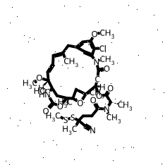 COc1cc2cc(c1Cl)N(C)C(=O)C[C@H](OC(=O)[C@H](C)N(C)C(=O)CCC(C)(C#N)SSC)[C@@]1(C)C[C@](C)(O1)[C@@H]1C[C@@](O)(NC(=O)O1)[C@H](OC)/C=C/C=C(\C)C2